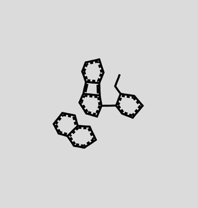 CCc1ccccc1-c1cccc2c1=c1ccccc1=2.c1ccc2ccccc2c1